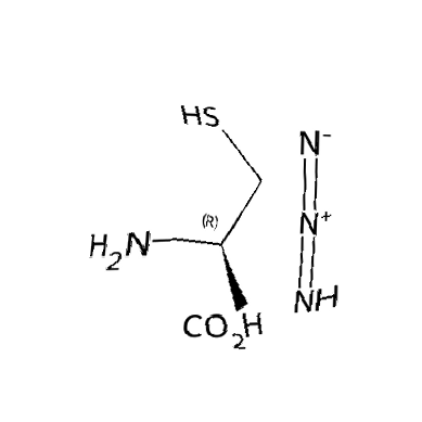 N[C@@H](CS)C(=O)O.[N-]=[N+]=N